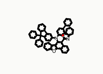 c1ccc(-c2ccc(N(c3ccc4c(c3)-c3ccccc3C4(c3ccccc3)c3ccccc3)c3c(-c4nc5ccccc5o4)c4ccccc4c4oc5ccccc5c34)cc2)cc1